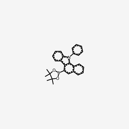 CC1(C)OB(c2cc3ccccc3c3c2c2ccccc2n3-c2ccccc2)OC1(C)C